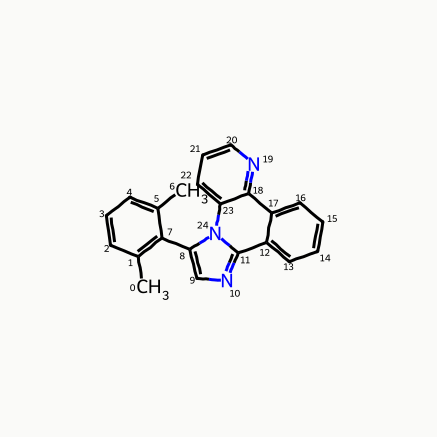 Cc1cccc(C)c1-c1cnc2c3ccccc3c3ncccc3n12